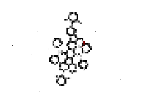 Cc1cccc(C)c1-c1ccc2c(c1)c1cccc3c4c(N(c5ccccc5)c5ccccc5)c5c6cccc7c(-c8c(C)cccc8C)ccc(c5c(N(c5ccccc5)c5ccccc5)c4cc2c13)c76